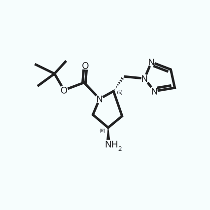 CC(C)(C)OC(=O)N1C[C@H](N)C[C@H]1Cn1nccn1